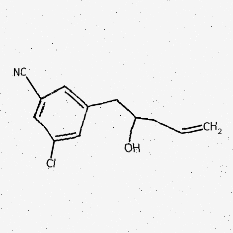 C=CCC(O)Cc1cc(Cl)cc(C#N)c1